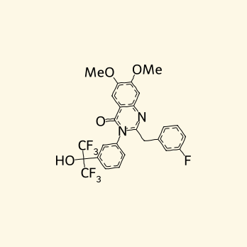 COc1cc2nc(Cc3cccc(F)c3)n(-c3cccc(C(O)(C(F)(F)F)C(F)(F)F)c3)c(=O)c2cc1OC